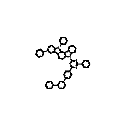 c1ccc(-c2cccc(-c3ccc(-c4nc(-c5ccccc5)nc(-n5c6ccccc6c6c5ccc5c7cc(-c8ccccc8)ccc7n(-c7ccccc7)c56)n4)cc3)c2)cc1